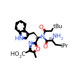 Cc1oc([C@@H](Cc2c[nH]c3ccccc23)N(C(=O)CC(C)(C)C)C(=O)[C@@H](N)CC(C)C)nc1C(=O)O